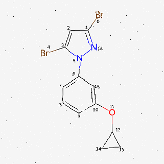 Brc1cc(Br)n(-c2cccc(OC3CC3)c2)n1